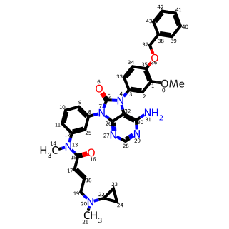 COc1cc(-n2c(=O)n(-c3cccc(N(C)C(=O)/C=C/CN(C)C4CC4)c3)c3ncnc(N)c32)ccc1OCc1ccccc1